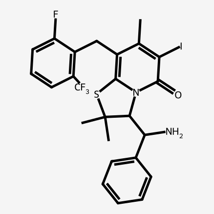 Cc1c(Cc2c(F)cccc2C(F)(F)F)c2n(c(=O)c1I)C(C(N)c1ccccc1)C(C)(C)S2